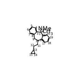 CN[C@]1(C)c2ccccc2C[C@H](CCC2CC2)c2ccccc21